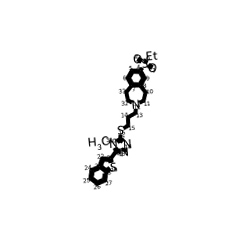 CCS(=O)(=O)c1ccc2c(c1)CCN(CCCSc1nnc(-c3cc4ccccc4s3)n1C)CC2